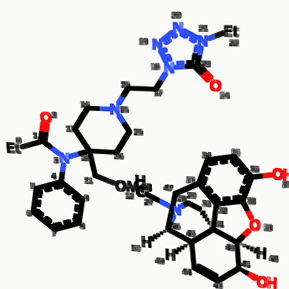 CCC(=O)N(c1ccccc1)C1(COC)CCN(CCn2nnn(CC)c2=O)CC1.CN1CC[C@]23c4c5ccc(O)c4O[C@H]2[C@@H](O)C=C[C@H]3[C@H]1C5